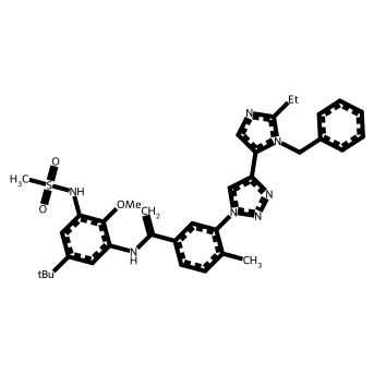 C=C(Nc1cc(C(C)(C)C)cc(NS(C)(=O)=O)c1OC)c1ccc(C)c(-n2cc(-c3cnc(CC)n3Cc3ccccc3)nn2)c1